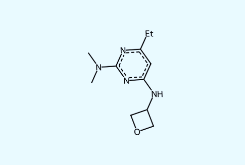 CCc1cc(NC2COC2)nc(N(C)C)n1